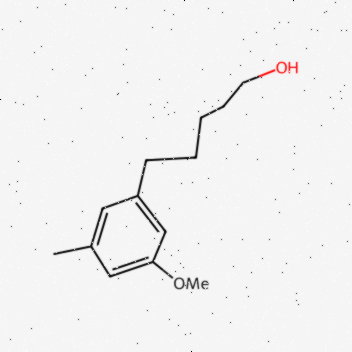 COc1cc(C)cc(CCCCCO)c1